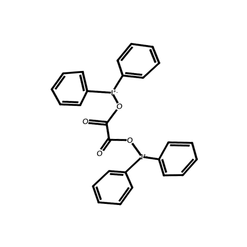 O=C(O[I+](c1ccccc1)c1ccccc1)C(=O)O[I+](c1ccccc1)c1ccccc1